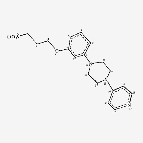 CCOC(=O)CCCOc1cccc(N2CCN(c3ccncc3)CC2)c1